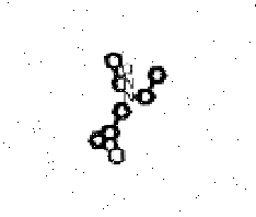 C1=CC2c3cccc4cc(-c5ccc(N(c6cccc(-c7ccccc7)c6)c6ccc7c(n6)oc6ccccc67)cc5)cc(c34)C2C=C1